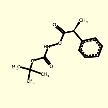 C[C@H](C(=O)ONC(=O)OC(C)(C)C)c1ccccc1